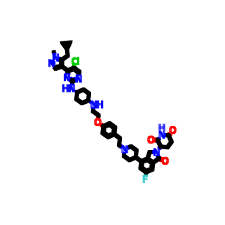 Cn1ncc(-c2nc(N[C@H]3CC[C@H](NCCOc4ccc(CCN5CCC(c6cc(F)cc7c6CN(C6CCC(=O)NC6=O)C7=O)CC5)cc4)CC3)ncc2Cl)c1CC1CC1